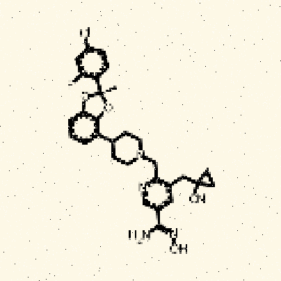 C[C@]1(c2ccc(Cl)cc2F)Oc2cccc(C3CCN(Cc4ncc(C(N)=NO)cc4CC4(C#N)CC4)CC3)c2O1